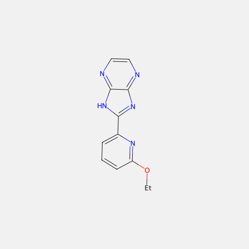 CCOc1cccc(-c2nc3nccnc3[nH]2)n1